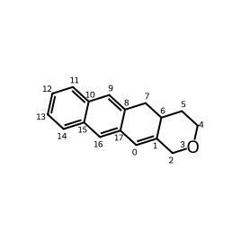 C1=C2COCCC2Cc2cc3ccccc3cc21